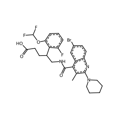 Cc1c(N2CCCCC2)nc2ccc(Br)cc2c1C(=O)NCC(CCC(=O)O)c1c(F)cccc1OC(F)F